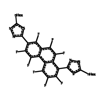 CCCCCCc1nnc(-c2c(F)c(F)c3c(c2F)c(F)c(F)c2c(-c4nnc(CCCCCC)s4)c(F)c(F)c(F)c23)s1